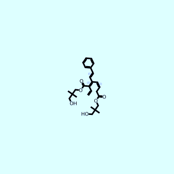 C=C/C(C(=O)OCC(C)(C)CO)=C(\C=C/CC(=O)OCC(C)(C)CO)/C=C/c1ccccc1